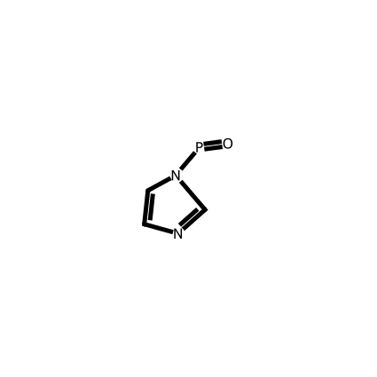 O=Pn1ccnc1